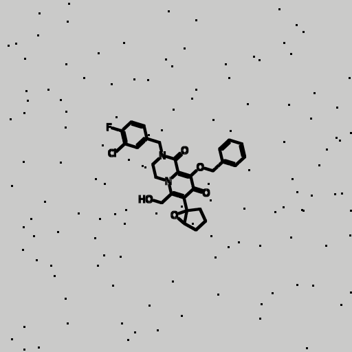 O=C1c2c(OCc3ccccc3)c(=O)c(C34CCCC3O4)c(CO)n2CCN1Cc1ccc(F)c(Cl)c1